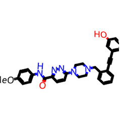 COc1ccc(NC(=O)c2ccc(N3CCN(Cc4ccccc4C#Cc4cccc(O)c4)CC3)nn2)cc1